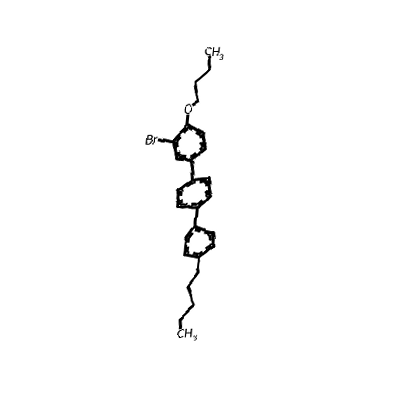 CCCCCc1ccc(-c2ccc(-c3ccc(OCCCC)c(Br)c3)cc2)cc1